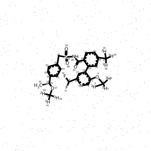 [2H]C([2H])([2H])Oc1cnc(C(F)F)cc1-c1cc(C([2H])([2H])[2H])ccc1C(=O)NS(=O)(=O)Cc1ccc([C@H](C)OC([2H])([2H])[2H])cc1